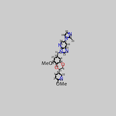 COc1ccc(C2COc3cc(Cn4cnc5cc(-n6ccnc6C)cnc54)cc(OC)c3O2)cn1